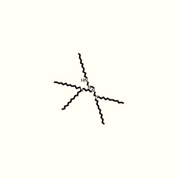 CCCCCCCCCCCCNCCN1CCN(CCN(CCCCCCCCCCCC)CCCCCCCCCCCC)CC1CCN(CCCCCCCCCCCC)CCCCCCCCCCCC